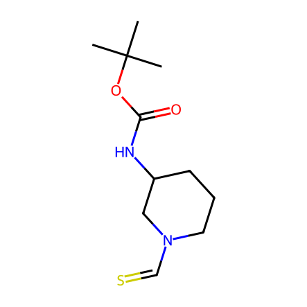 CC(C)(C)OC(=O)NC1CCCN(C=S)C1